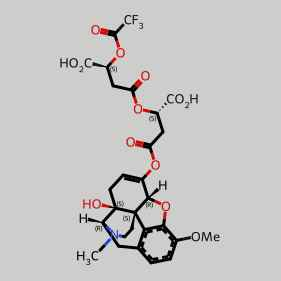 COc1ccc2c3c1O[C@H]1C(OC(=O)C[C@H](OC(=O)C[C@H](OC(=O)C(F)(F)F)C(=O)O)C(=O)O)=CC[C@@]4(O)[C@@H](C2)N(C)CC[C@]314